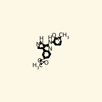 Cn1cccc(Nc2nc3ccc(S(C)(=O)=O)cc3c3cn[nH]c23)c1=O